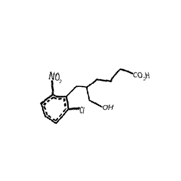 O=C(O)CCCC(CO)Cc1c(Cl)cccc1[N+](=O)[O-]